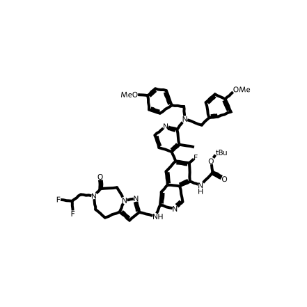 COc1ccc(CN(Cc2ccc(OC)cc2)c2nccc(-c3cc4cc(Nc5cc6n(n5)CC(=O)N(CC(F)F)CC6)ncc4c(NC(=O)OC(C)(C)C)c3F)c2C)cc1